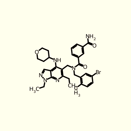 CCc1nc2c(cnn2CC)c(NC2CCOCC2)c1CN(Cc1cc(Br)ccc1C)C(=O)c1cccc(C(N)=O)c1